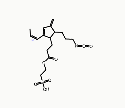 C=C1C=C(/C=C\C)C(CCC(=O)OCCS(=O)(=O)O)C1CCCN=C=O